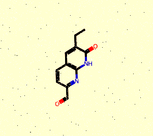 CCc1cc2ccc(C=O)nc2[nH]c1=O